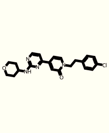 O=c1cc(-c2ccnc(NC3CCOCC3)n2)ccn1CCc1ccc(Cl)cc1